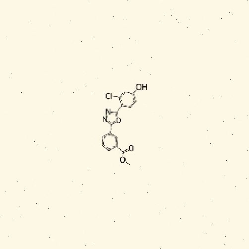 COC(=O)c1cccc(-c2nnc(-c3ccc(O)cc3Cl)o2)c1